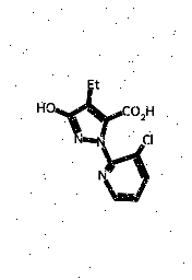 CCc1c(O)nn(-c2ncccc2Cl)c1C(=O)O